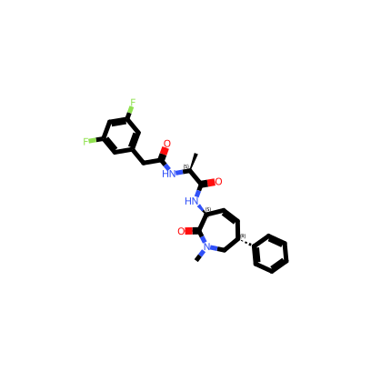 C[C@H](NC(=O)Cc1cc(F)cc(F)c1)C(=O)N[C@H]1C=C[C@H](c2ccccc2)CN(C)C1=O